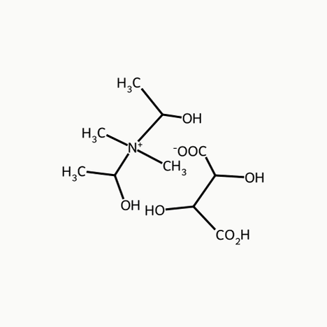 CC(O)[N+](C)(C)C(C)O.O=C([O-])C(O)C(O)C(=O)O